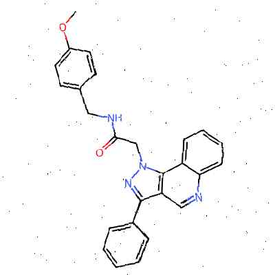 COc1ccc(CNC(=O)Cn2nc(-c3ccccc3)c3cnc4ccccc4c32)cc1